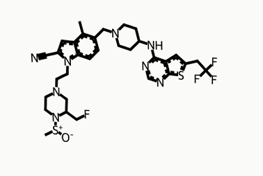 Cc1c(CN2CCC(Nc3ncnc4sc(CC(F)(F)F)cc34)CC2)ccc2c1cc(C#N)n2CCN1CCN([S+](C)[O-])C(CF)C1